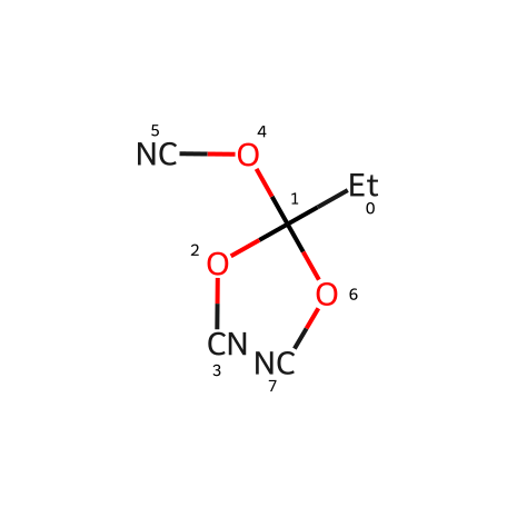 CCC(OC#N)(OC#N)OC#N